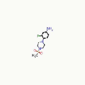 CS(=O)(=O)N1CCN(c2ccc(N)cc2F)CC1